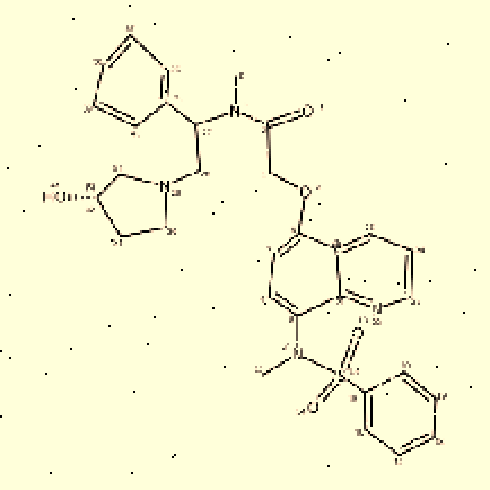 CN(C(=O)COc1ccc(N(C)S(=O)(=O)c2ccccc2)c2ncccc12)C(CN1CC[C@H](O)C1)c1ccccc1